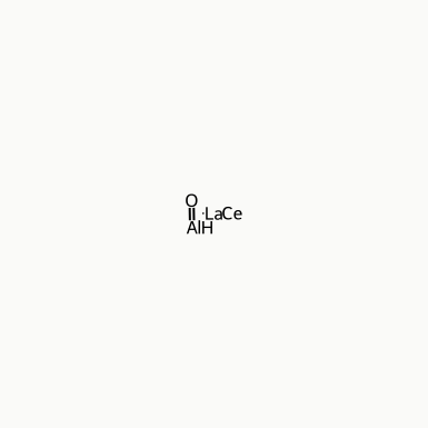 [Ce].[La].[O]=[AlH]